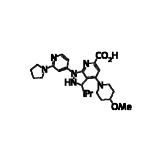 COC1CCN(c2cc(C(=O)O)nc3c2C(C(C)C)NN3c2ccnc(N3CCCC3)c2)CC1